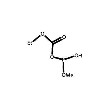 CCOC(=O)OP(O)OC